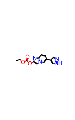 CCOC(=O)Oc1cn2cc(-c3cn[nH]c3)ccc2n1